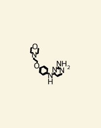 Nc1nccc(Nc2ccc(OCCN3CCOCC3)cc2)n1